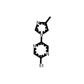 CCc1cnc(-n2cnc(C)c2)cn1